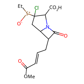 CC[S+]([O-])C1(Cl)CC2C(CC=CC(=O)OC)C(=O)N2C1C(=O)O